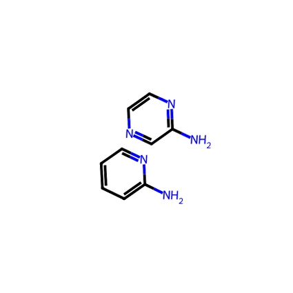 Nc1ccccn1.Nc1cnccn1